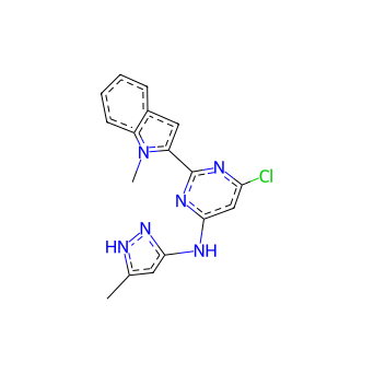 Cc1cc(Nc2cc(Cl)nc(-c3cc4ccccc4n3C)n2)n[nH]1